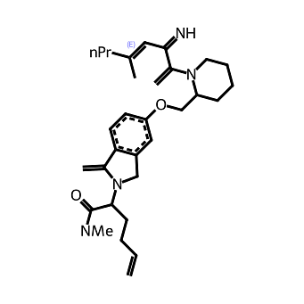 C=CCCC(C(=O)NC)N1Cc2cc(OCC3CCCCN3C(=C)C(=N)/C=C(\C)CCC)ccc2C1=C